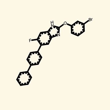 Fc1cc2[nH]c(Oc3cccc(Br)c3)nc2cc1-c1ccc(-c2ccccc2)cc1